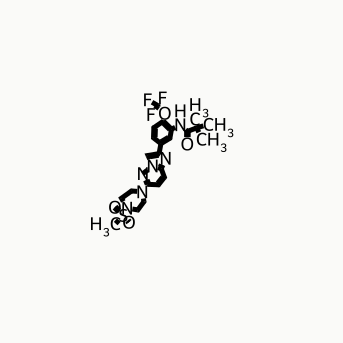 CC(C)(C)C(=O)Nc1cc(-c2cn3nc(N4CCN(S(C)(=O)=O)CC4)ccc3n2)ccc1OC(F)(F)F